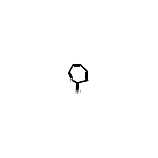 N=c1[c]ccccn1